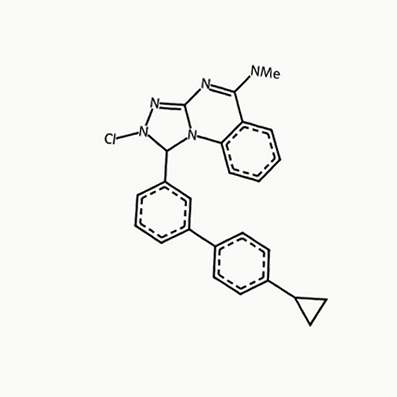 CNC1=NC2=NN(Cl)C(c3cccc(-c4ccc(C5CC5)cc4)c3)N2c2ccccc21